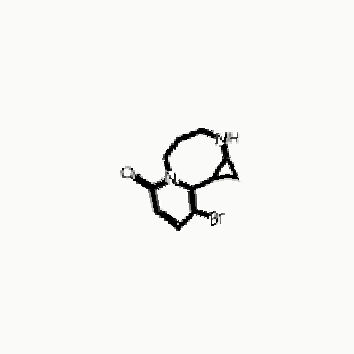 O=c1ccc(Br)c2n1CCCNC1CC21